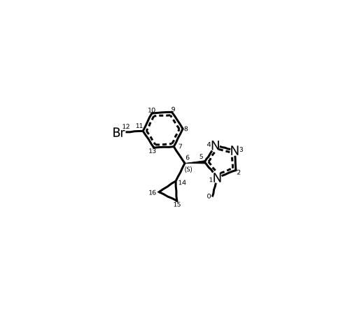 Cn1cnnc1[C@H](c1cccc(Br)c1)C1CC1